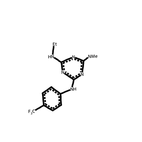 CCNc1nc(NC)nc(Nc2ccc(C(F)(F)F)cc2)n1